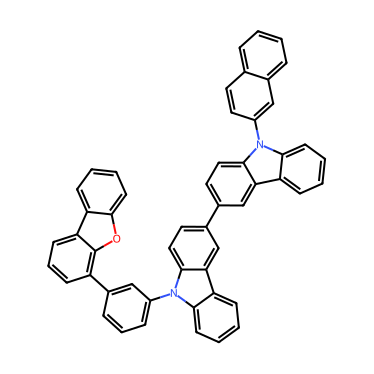 c1cc(-c2cccc3c2oc2ccccc23)cc(-n2c3ccccc3c3cc(-c4ccc5c(c4)c4ccccc4n5-c4ccc5ccccc5c4)ccc32)c1